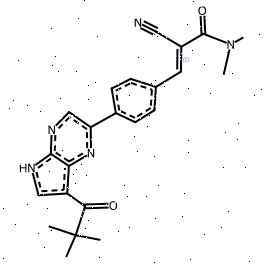 CN(C)C(=O)/C(C#N)=C/c1ccc(-c2cnc3[nH]cc(C(=O)C(C)(C)C)c3n2)cc1